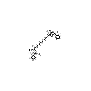 C=C(OC(C)(C)c1ccccc1)C(=O)OCCCCCCCCOC(=O)C(=C)OC(C)(C)c1ccccc1